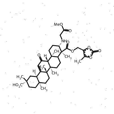 COC(=O)CN[C@H]1CC[C@@]2(C)C(CC[C@]3(C)[C@@H]2C(=O)C=C2[C@@H]4C[C@@](C)(C(=O)O)CC[C@]4(C)CC[C@]23C)[C@]1(C)C(=O)OCc1oc(=O)oc1C